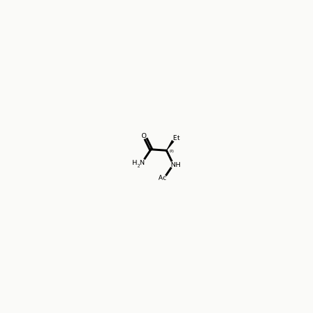 CC[C@@H](NC(C)=O)C(N)=O